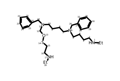 CCNCCCCN(CCCCN(COSCCNCC)Cc1ccccc1)Cc1ccccc1